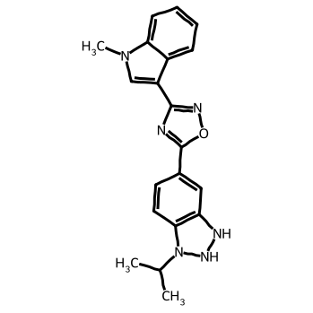 CC(C)N1NNc2cc(-c3nc(-c4cn(C)c5ccccc45)no3)ccc21